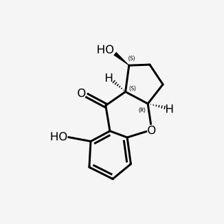 O=C1c2c(O)cccc2O[C@@H]2CC[C@H](O)[C@H]12